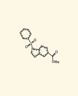 COC(=O)c1cc2ccn(S(=O)(=O)c3ccccc3)c2cn1